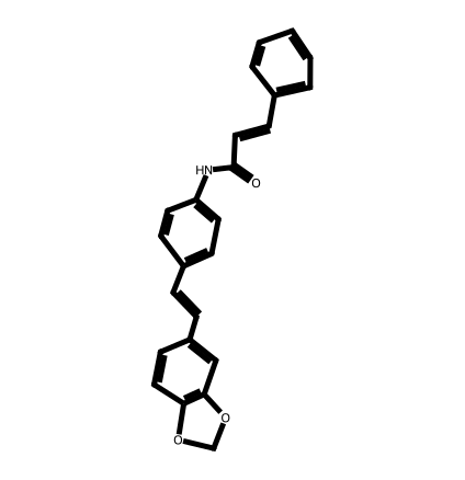 O=C(/C=C/c1ccccc1)Nc1ccc(/C=C/c2ccc3c(c2)OCO3)cc1